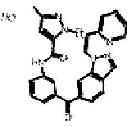 CCn1nc(C)cc1C(=O)Nc1cccc(C(=O)c2ccc3cnn(C=Cc4ccccn4)c3c2)c1.Cl